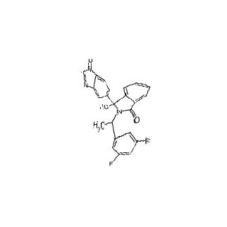 CC(c1cc(F)cc(F)c1)N1C(=O)c2ccccc2C1(O)c1ccc2[nH][c]nc2c1